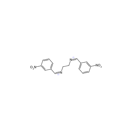 O=[N+]([O-])c1cccc(/C=N\CC/N=C\c2cccc([N+](=O)[O-])c2)c1